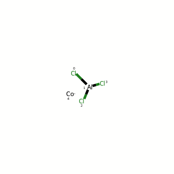 [Cl][Al]([Cl])[Cl].[Co]